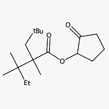 CCC(C)(C)C(C)(CC(C)(C)C)C(=O)OC1CCCC1=O